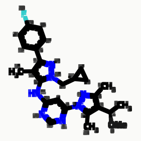 CO[C@H](C)c1c(C)nn(-c2cc(Nc3c(C)c(-c4ccc(F)cc4)nn3CC3CC3)ncn2)c1C